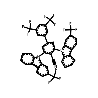 N#Cc1c(-n2c3ccccc3c3ccc(C(F)(F)F)cc32)cc(-c2cc(C(F)(F)F)cc(C(F)(F)F)c2)cc1-n1c2ccccc2c2ccc(C(F)(F)F)cc21